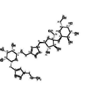 COCn1cc(C[C@H]2O[C@@H](OCc3cn(C[C@H]4O[C@@](CCl)(O[C@H]5O[C@H](CO)[C@H](Cl)[C@H](O)[C@H]5O)[C@@H](O)[C@@H]4O)nn3)[C@@H](O)[C@@H](O)[C@H]2O)nn1